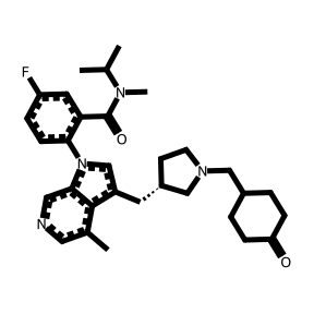 Cc1cncc2c1c(C[C@@H]1CCN(CC3CCC(=O)CC3)C1)cn2-c1ccc(F)cc1C(=O)N(C)C(C)C